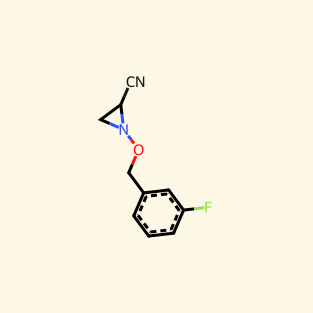 N#CC1CN1OCc1cccc(F)c1